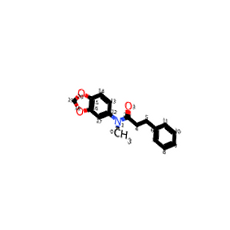 CN(C(=O)CCc1ccccc1)c1ccc2c(c1)OCO2